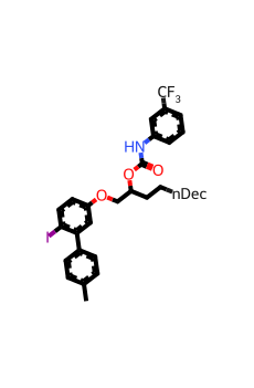 CCCCCCCCCCCCC(COc1ccc(I)c(-c2ccc(C)cc2)c1)OC(=O)Nc1cccc(C(F)(F)F)c1